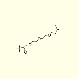 CC(C)CCOCCOCCOCC(=O)C(C)(C)C